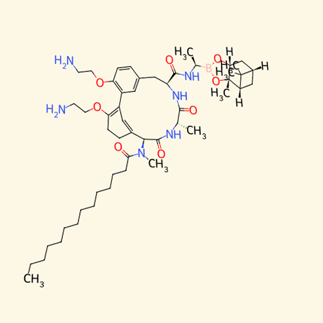 CCCCCCCCCCCCCC(=O)N(C)[C@@H]1C(=O)N[C@@H](C)C(=O)N[C@H](C(=O)N[C@@H](C)B2O[C@@H]3C[C@@H]4C[C@@H](C4(C)C)[C@]3(C)O2)Cc2ccc(OCCN)c(c2)C2=C(OCCN)CCC1=C2